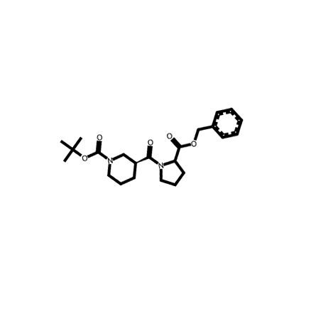 CC(C)(C)OC(=O)N1CCC[C@H](C(=O)N2CCCC2C(=O)OCc2ccccc2)C1